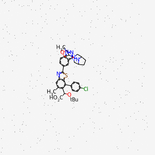 Cc1cc2nc(-c3ccc4c(c3)c(N3C5CCC3CN(C3COC3)C5)nn4C)sc2c(-c2ccc(Cl)cc2)c1C(OC(C)(C)C)C(=O)O